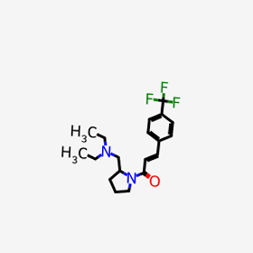 CCN(CC)CC1CCCN1C(=O)C=Cc1ccc(C(F)(F)F)cc1